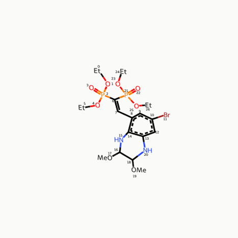 CCOP(=O)(OCC)C(=Cc1cc(Br)cc2c1NC(OC)C(OC)N2)P(=O)(OCC)OCC